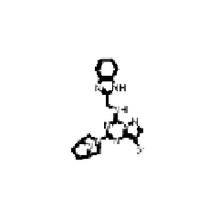 Brc1cnn2c(NCc3nc4c([nH]3)CCC=C4)nc(N3CC4CCC(C3)N4)nc12